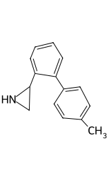 Cc1ccc(-c2ccccc2C2CN2)cc1